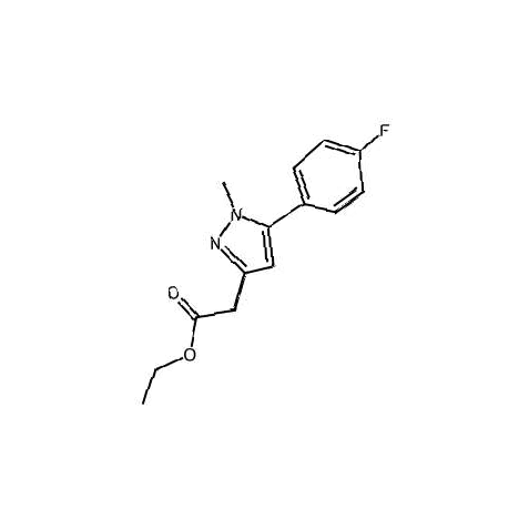 CCOC(=O)Cc1cc(-c2ccc(F)cc2)n(C)n1